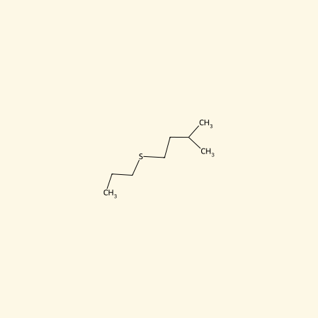 CCCSCCC(C)C